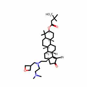 CC(C)C1=C2[C@H]3CCC4[C@@]5(C)CC[C@H](OC(=O)CC(C)(C)C(=O)O)C(C)(C)C5CC[C@@]4(C)[C@]3(C)CC[C@@]2(CCN(CCN(C)C)CC2COC2)CC1=O